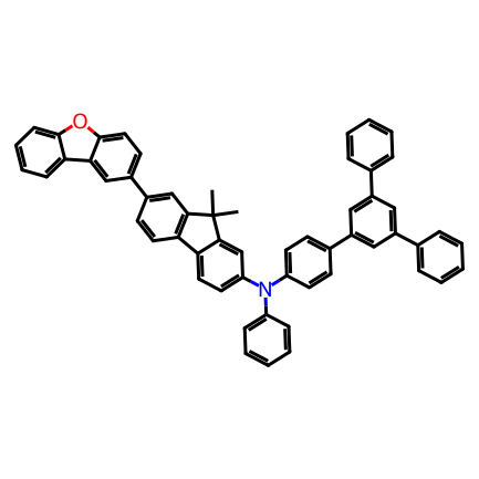 CC1(C)c2cc(-c3ccc4oc5ccccc5c4c3)ccc2-c2ccc(N(c3ccccc3)c3ccc(-c4cc(-c5ccccc5)cc(-c5ccccc5)c4)cc3)cc21